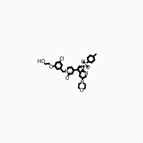 Cc1ccc(S(=O)(=O)n2cc(-c3ccn(Cc4cc(Cl)cc(OCCO)c4)c(=O)c3)c3cc(N4CCOCC4)cnc32)cc1